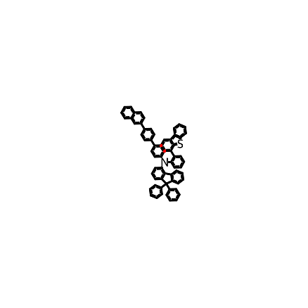 c1ccc(C2(c3ccccc3)c3ccccc3-c3c(N(c4ccc(-c5ccc(-c6ccc7ccccc7c6)cc5)cc4)c4ccccc4-c4cccc5c4sc4ccccc45)cccc32)cc1